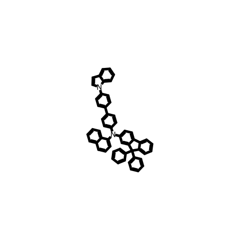 c1ccc(C2(c3ccccc3)c3ccccc3-c3ccc(N(c4ccc(-c5ccc(-n6ccc7ccccc76)cc5)cc4)c4cccc5ccccc45)cc32)cc1